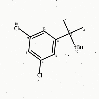 CC(C)(C)C(C)(C)c1cc(Cl)cc(Cl)c1